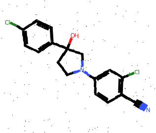 N#Cc1ccc(N2CCC(O)(c3ccc(Cl)cc3)C2)cc1Cl